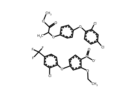 CCOc1cc(Oc2ccc(C(F)(F)F)cc2Cl)ccc1[N+](=O)[O-].COC(=O)C(C)Oc1ccc(Oc2ccc(Cl)cc2Cl)cc1